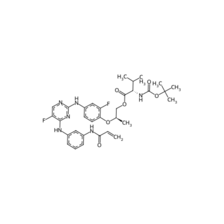 C=CC(=O)Nc1cccc(Nc2nc(Nc3ccc(O[C@H](C)COC(=O)[C@@H](NC(=O)OC(C)(C)C)C(C)C)c(F)c3)ncc2F)c1